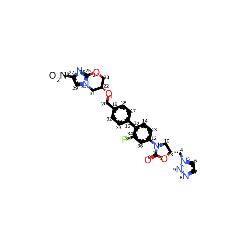 O=C1O[C@@H](Cn2ccnn2)CN1c1ccc(-c2ccc(CO[C@@H]3COc4nc([N+](=O)[O-])cn4C3)cc2)c(F)c1